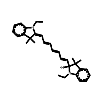 [2H]C1(/C=C/C=C/C=C/C=C2/N(CC)c3ccccc3C2(C)C)N(CC)c2ccccc2C1(C)C